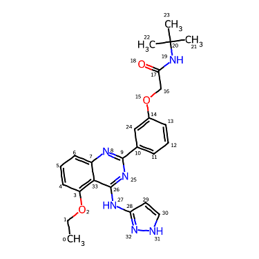 CCOc1cccc2nc(-c3cccc(OCC(=O)NC(C)(C)C)c3)nc(Nc3cc[nH]n3)c12